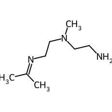 CC(C)=NCCN(C)CCN